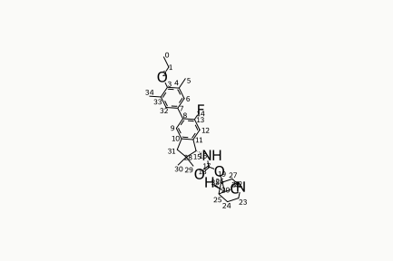 CCOc1c(C)cc(-c2cc3c(cc2F)[C@H](NC(=O)O[C@@H]2CN4CCC2CC4)C(C)(C)C3)cc1C